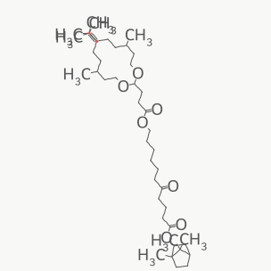 CC(C)=CCCC(C)CCOC(CCC(=O)OCCCCCCC(=O)CCCC(=O)OC1CC2CCC1(C)C2(C)C)OCCC(C)CCC=C(C)C